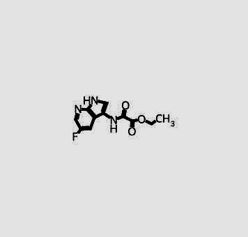 CCOC(=O)C(=O)Nc1c[nH]c2ncc(F)cc12